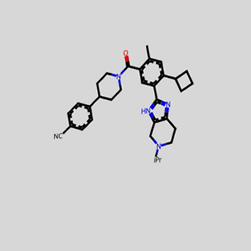 Cc1cc(C2CCC2)c(-c2nc3c([nH]2)CN(C(C)C)CC3)cc1C(=O)N1CCC(c2ccc(C#N)cc2)CC1